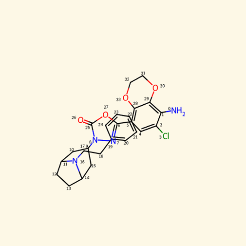 Nc1c(Cl)cc(-c2nn(C3CC4CCC(C3)N4CCc3ccccc3)c(=O)o2)c2c1OCCO2